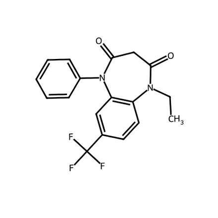 CCN1C(=O)CC(=O)N(c2ccccc2)c2cc(C(F)(F)F)ccc21